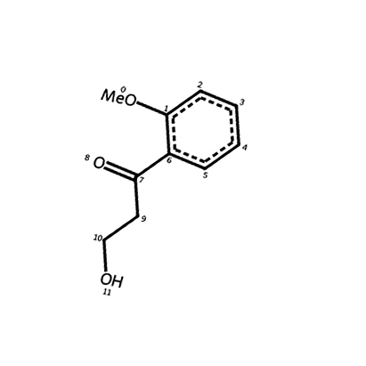 COc1ccccc1C(=O)CCO